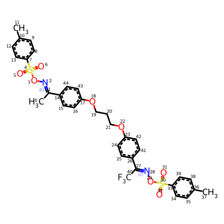 C/C(=N\OS(=O)(=O)c1ccc(C)cc1)c1ccc(OCCCOc2ccc(/C(=N/OS(=O)(=O)c3ccc(C)cc3)C(F)(F)F)cc2)cc1